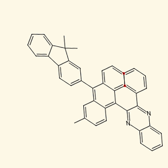 Cc1ccc2c(-c3nc4ccccc4nc3-c3ccccc3)c3ccccc3c(-c3ccc4c(c3)C(C)(C)c3ccccc3-4)c2c1